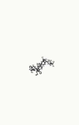 C=CCn1c(=O)c2cnc(Nc3ccc4c(C5CCN(C(C)C)CC5)cn(C)c4c3)nc2n1-c1ccc(=O)n(C(C)C)n1